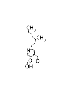 CCCCC(C)CCc1cc(C=O)c(OCO)cn1